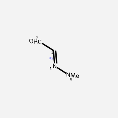 CN/N=C/C=O